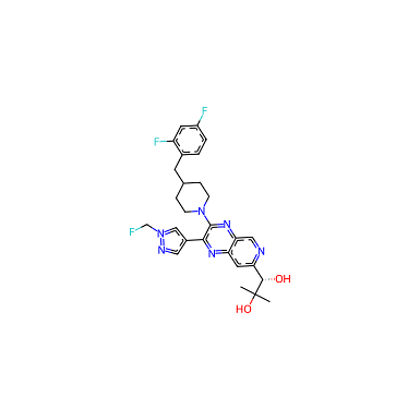 CC(C)(O)[C@@H](O)c1cc2nc(-c3cnn(CF)c3)c(N3CCC(Cc4ccc(F)cc4F)CC3)nc2cn1